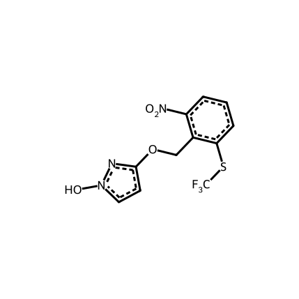 O=[N+]([O-])c1cccc(SC(F)(F)F)c1COc1ccn(O)n1